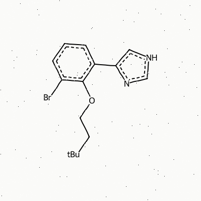 CC(C)(C)CCOc1c(Br)cccc1-c1c[nH]cn1